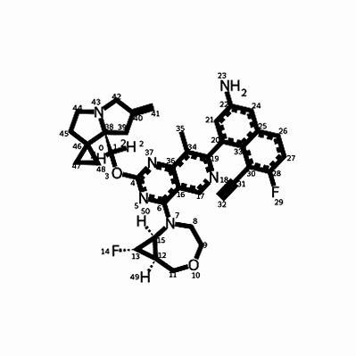 [2H]C([2H])(Oc1nc(N2CCOC[C@H]3[C@H](F)[C@H]32)c2cnc(-c3cc(N)cc4ccc(F)c(C#C)c34)c(C)c2n1)[C@]12CC(=C)CN1CCC21CC1